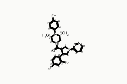 C[C@@H]1CN(C(=O)C2CN(c3cccnn3)CC2c2ccc(F)cc2F)C[C@H](C)N1c1ccc(F)cc1